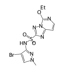 CCOc1nccc2nc(S(=O)(=O)Nc3nn(C)cc3Br)nn12